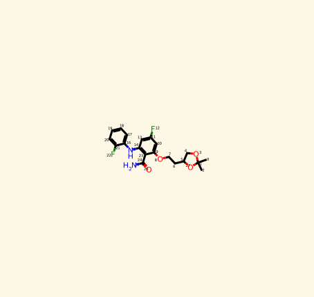 CC1(C)OCC(CCOc2cc(F)cc(Nc3ccccc3F)c2C(N)=O)O1